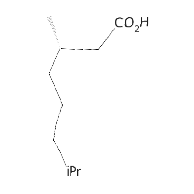 CC(C)CCC[C@H](C)CC(=O)O